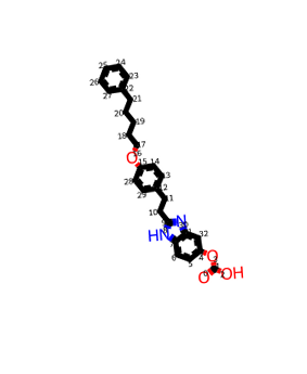 O=C(O)Oc1ccc2[nH]c(CCc3ccc(OCCCCCc4ccccc4)cc3)nc2c1